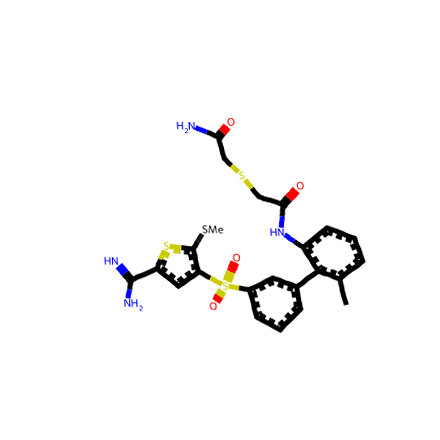 CSc1sc(C(=N)N)cc1S(=O)(=O)c1cccc(-c2c(C)cccc2NC(=O)CSCC(N)=O)c1